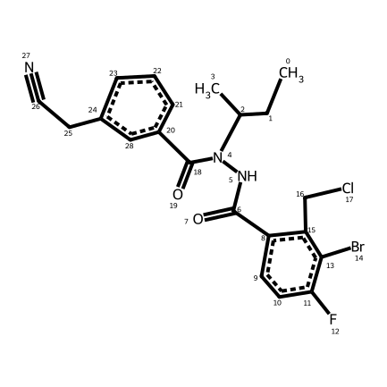 CCC(C)N(NC(=O)c1ccc(F)c(Br)c1CCl)C(=O)c1cccc(CC#N)c1